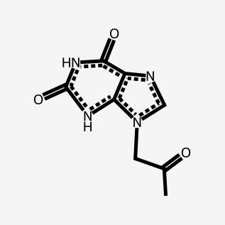 CC(=O)Cn1cnc2c(=O)[nH]c(=O)[nH]c21